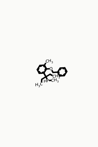 CCC(CC)(PC)c1cccc(C)c1OCc1ccccc1